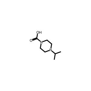 CC(C)N1CCN(C(=O)O)CC1